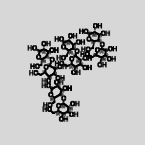 OC[C@H]1O[C@@H](O[C@H]2[C@H](O)[C@@H](O)[C@H](O)O[C@@H]2CO)[C@H](O)[C@@H](O)[C@H]1O.OC[C@H]1O[C@@H](O[C@H]2[C@H](O)[C@@H](O)[C@H](O)O[C@@H]2CO)[C@H](O)[C@@H](O)[C@H]1O.OC[C@H]1O[C@@H](O[C@H]2[C@H](O)[C@@H](O)[C@H](O)O[C@@H]2CO)[C@H](O)[C@@H](O)[C@H]1O.OC[C@H]1O[C@@H](O[C@H]2[C@H](O)[C@@H](O)[C@H](O)O[C@@H]2CO)[C@H](O)[C@@H](O)[C@H]1O